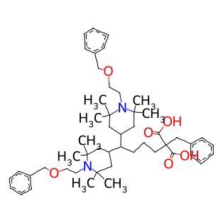 CC1(C)CC(C(CCCC(Cc2ccccc2)(C(=O)O)C(=O)O)C2CC(C)(C)N(CCOCc3ccccc3)C(C)(C)C2)CC(C)(C)N1CCOCc1ccccc1